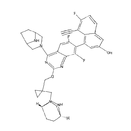 C#Cc1c(F)ccc2cc(O)cc(-c3c(F)cc4c(N5CC6CCC(C5)N6)nc(OCC5(CN6C[C@@H]7CC[C@H]6CN7)CC5)nc4c3F)c12